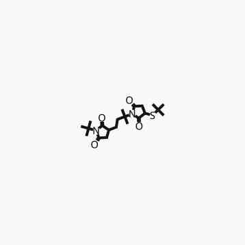 CC(C)(C)SC1CC(=O)N(C(C)(C)CCC2CC(=O)N(C(C)(C)C)C2=O)C1=O